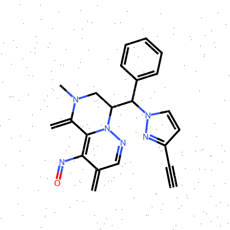 C#Cc1ccn(C(c2ccccc2)C2CN(C)C(=C)C3=C(N=O)C(=C)C=NN32)n1